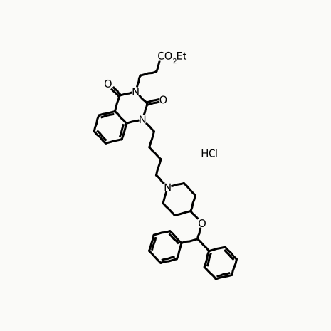 CCOC(=O)CCn1c(=O)c2ccccc2n(CCCCN2CCC(OC(c3ccccc3)c3ccccc3)CC2)c1=O.Cl